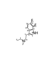 CCN(C)CCc1c[nH]c2c(F)c(F)ccc12